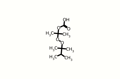 CC(C)C(C)(C)OOC(C)(C)OC(=O)O